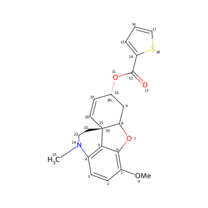 COc1ccc2c3c1OC1C[C@@H](OC(=O)c4cccs4)C=C[C@@]31CCN2C